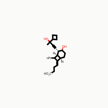 CCCC1C(=CCCC(=O)O)[C@@H]2CC[C@H](O)[C@@H](C#CC(C)(O)C3CCC3)[C@H]12